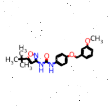 COc1cccc(COc2ccc(NC(=O)Nc3cc(C(C)(C)C)on3)cc2)c1